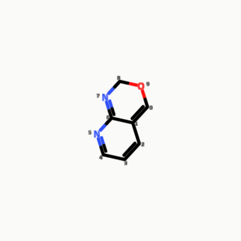 C1=c2cccnc2=NCO1